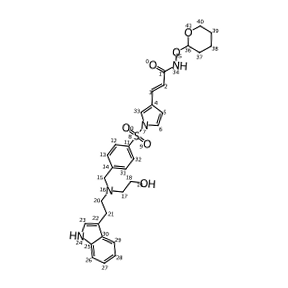 O=C(C=Cc1ccn(S(=O)(=O)c2ccc(CN(CCO)CCc3c[nH]c4ccccc34)cc2)c1)NOC1CCCCO1